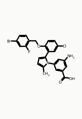 Cc1ccc(-c2cc(Cl)ccc2OCc2ccc(Br)cc2F)n1-c1cc(N)cc(C(=O)O)c1